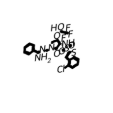 NC(=NCN1CC[C@H](NS(=O)(=O)c2cc3c(Cl)cccc3s2)C1=O)c1ccccc1.O=C(O)C(F)(F)F